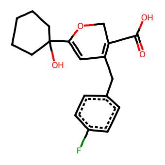 O=C(O)C1=C(Cc2ccc(F)cc2)C=C(C2(O)CCCCC2)OC1